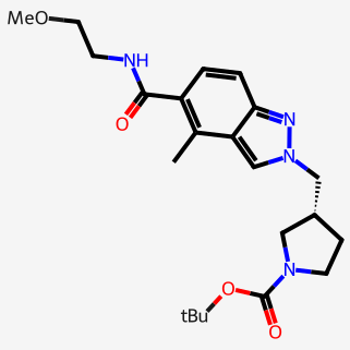 COCCNC(=O)c1ccc2nn(C[C@@H]3CCN(C(=O)OC(C)(C)C)C3)cc2c1C